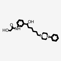 O=C(CO)Nc1cccc(C(O)CCCCCN2CCN(c3ccccc3)CC2)c1